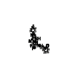 CN1CCC(n2cc(Nc3ncc(C(F)(F)F)c(NCCCN4CCCCC4=O)n3)c(C#N)n2)CC1